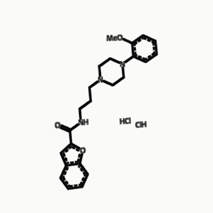 COc1ccccc1N1CCN(CCCNC(=O)c2cc3ccccc3o2)CC1.Cl.Cl